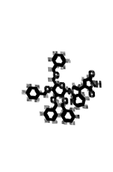 O=C1C=C(c2cn([C@@H]3O[C@H](COCc4ccccc4)[C@@H](OCc4ccccc4)[C@H](OCc4ccccc4)[C@H]3OCc3ccccc3)c3ncccc23)C(=O)N1